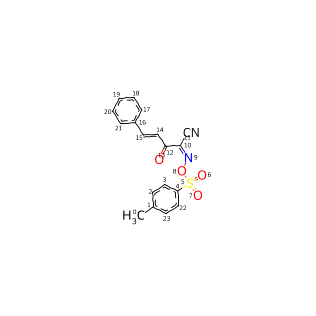 Cc1ccc(S(=O)(=O)ON=C(C#N)C(=O)C=Cc2ccccc2)cc1